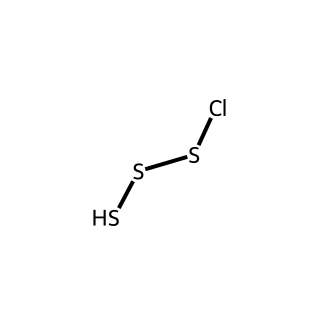 SSSCl